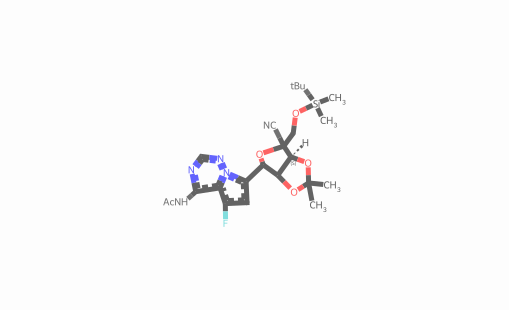 CC(=O)Nc1ncnn2c(C3OC(C#N)(CO[Si](C)(C)C(C)(C)C)[C@H]4OC(C)(C)OC34)cc(F)c12